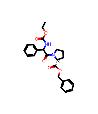 CCOC(=O)NC(C(=O)N1CCC[C@@H]1C(=O)OCc1ccccc1)c1ccccc1